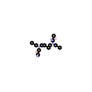 c1ccc(-c2ccc(N(c3ccc4ccc(-c5cccc6cc(N(c7ccc(-c8ccccc8)cc7)c7cnc8c(c7)oc7ccccc78)ccc56)cc4c3)c3ccc4c(c3)oc3cnccc34)cc2)cc1